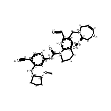 CO[C@@H]1CCC[C@H]1Nc1cc(NC(=O)N2CCCc3cc(CN4CC=COCC4=C=O)c(C=O)nc32)ncc1C#N